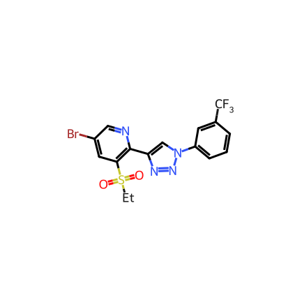 CCS(=O)(=O)c1cc(Br)cnc1-c1cn(-c2cccc(C(F)(F)F)c2)nn1